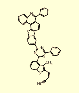 C#C/C=C\c1sc2cccc(-c3nc(-c4ccccc4)nc(-c4ccc5sc6c(ccc7c(-c8ccccc8)nc8ccccc8c76)c5c4)n3)c2c1C